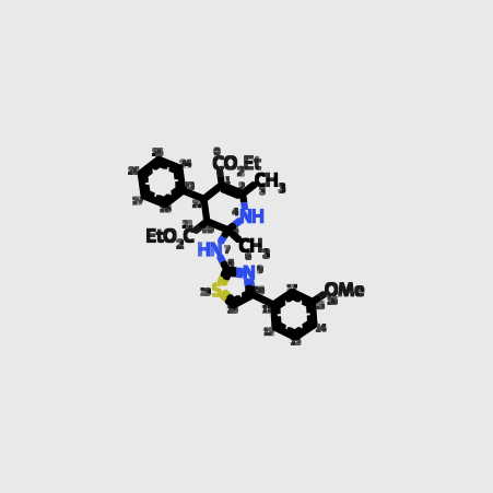 CCOC(=O)C1=C(C)NC(C)(Nc2nc(-c3cccc(OC)c3)cs2)C(C(=O)OCC)C1c1ccccc1